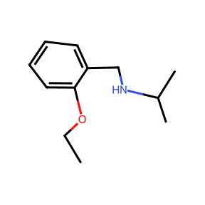 CCOc1ccccc1CNC(C)C